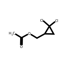 CC(=O)OCC1CC1(Cl)Cl